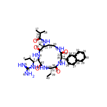 CCC(NC(=N)N)[C@@H]1NC(=O)[C@](C)(NC(=O)C(C)C)CCNC(=O)[C@@H](c2ccc3ccccc3c2)NC(=O)[C@H](CC)NC1=O